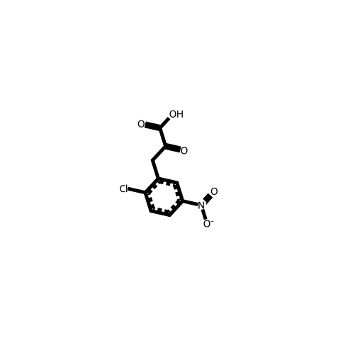 O=C(O)C(=O)Cc1cc([N+](=O)[O-])ccc1Cl